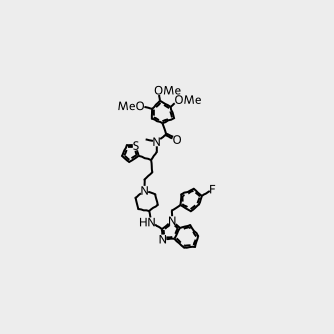 COc1cc(C(=O)N(C)CC(CCN2CCC(Nc3nc4ccccc4n3Cc3ccc(F)cc3)CC2)c2cccs2)cc(OC)c1OC